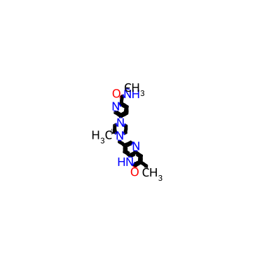 CCc1cc2ncc(CN3CCN(c4ccc(C(=O)NC)nc4)C[C@@H]3C)cc2[nH]c1=O